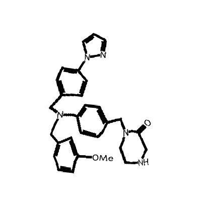 COc1cccc(CN(Cc2ccc(-n3cccn3)cc2)c2ccc(CN3CCNCC3=O)cc2)c1